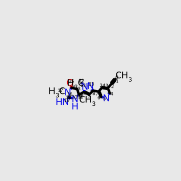 CC#Cc1cncc(-c2cc([C@]3(C)CC(=O)N(C)C(=N)N3)n(C)n2)c1